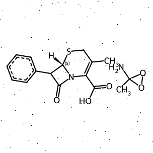 CC1(N)OO1.CC1=C(C(=O)O)N2C(=O)C(c3ccccc3)[C@@H]2SC1